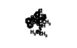 Cc1ccsc1C1(OC(=O)NCCN(C)C)C(=O)N(S(=O)(=O)c2cccc3cccnc23)c2ccc(Cl)cc21